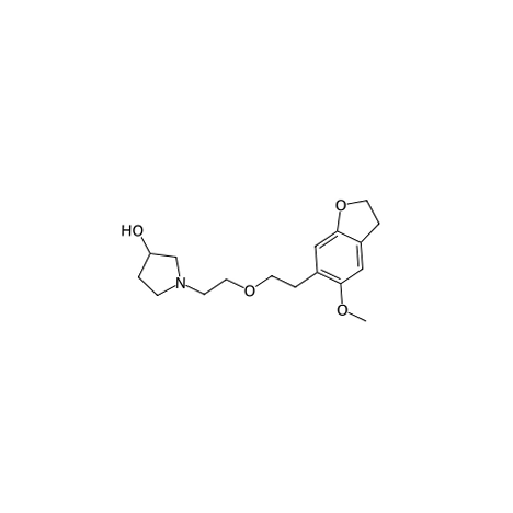 COc1cc2c(cc1CCOCCN1CCC(O)C1)OCC2